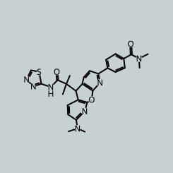 CN(C)C(=O)c1ccc(-c2ccc3c(n2)Oc2nc(N(C)C)ccc2C3C(C)(C)C(=O)Nc2nncs2)cc1